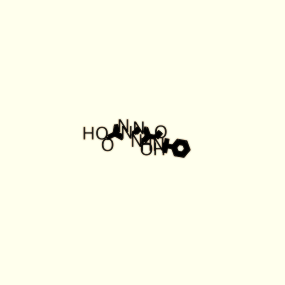 CC(C)(NC(=O)c1cnc(-n2cc(C(=O)O)cn2)nc1O)c1ccccc1